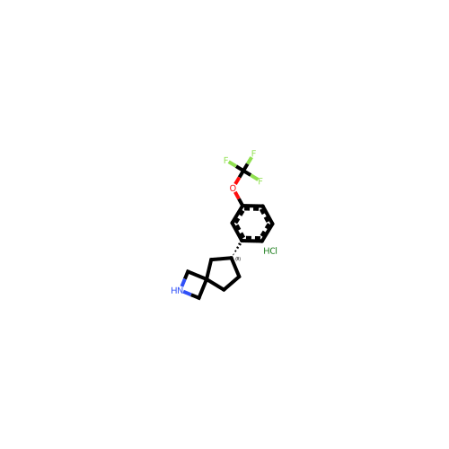 Cl.FC(F)(F)Oc1cccc([C@@H]2CCC3(CNC3)C2)c1